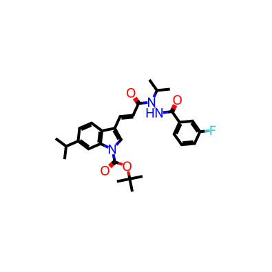 CC(C)c1ccc2c(C=CC(=O)N(NC(=O)c3cccc(F)c3)C(C)C)cn(C(=O)OC(C)(C)C)c2c1